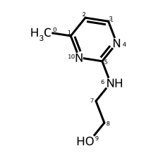 Cc1c[c]nc(NCCO)n1